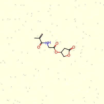 C=C(C)C(=O)NCC(=O)OC1COC(=O)C1